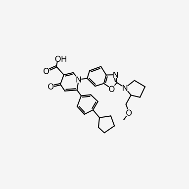 COCC1CCCN1c1nc2ccc(-n3cc(C(=O)O)c(=O)cc3-c3ccc(C4CCCC4)cc3)cc2o1